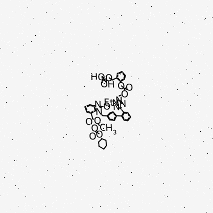 CCOc1nc2cccc(C(=O)OC(C)OC(=O)OC3CCCCC3)c2n1Cc1ccc(-c2ccccc2-c2nnn(COC(=O)Oc3ccccc3CON(O)O)n2)cc1